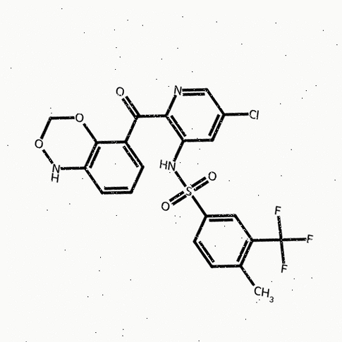 Cc1ccc(S(=O)(=O)Nc2cc(Cl)cnc2C(=O)c2cccc3c2OCON3)cc1C(F)(F)F